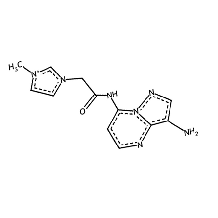 C[n+]1ccn(CC(=O)Nc2ccnc3c(N)cnn23)c1